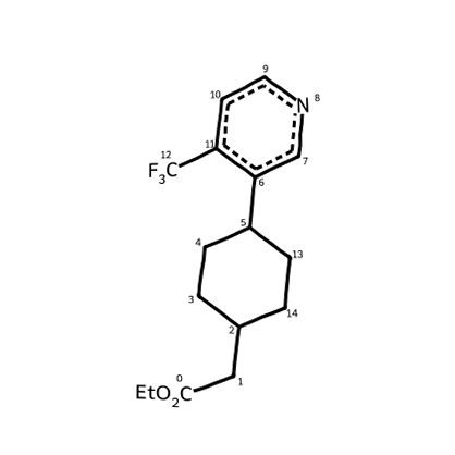 CCOC(=O)CC1CCC(c2cnccc2C(F)(F)F)CC1